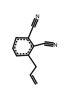 C=CCc1cccc(C#N)c1C#N